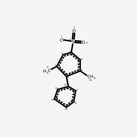 Cc1cc(S(=O)(=O)Cl)cc(C)c1-c1ccccc1